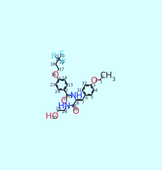 CCOc1ccc(/C=C(\NC(=O)c2ccc(OCCC(F)(F)F)cc2)C(=O)NCCO)cc1